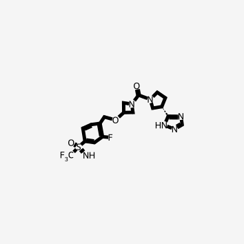 N=S(=O)(c1ccc(COC2CN(C(=O)N3CC[C@H](c4ncn[nH]4)C3)C2)c(F)c1)C(F)(F)F